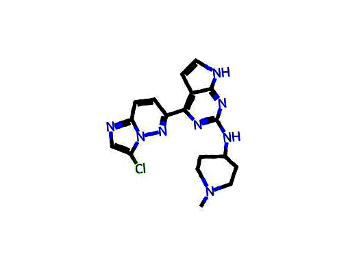 CN1CCC(Nc2nc(-c3ccc4ncc(Cl)n4n3)c3cc[nH]c3n2)CC1